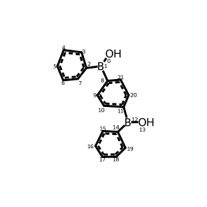 OB(c1ccccc1)c1ccc(B(O)c2ccccc2)cc1